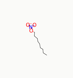 CCCCCCCCCO[N+](=O)[O-]